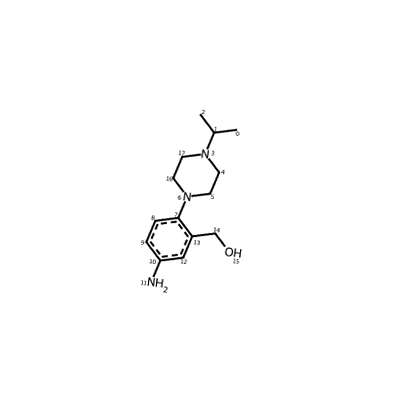 CC(C)N1CCN(c2ccc(N)cc2CO)CC1